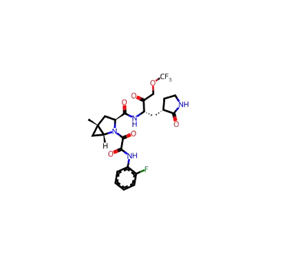 C[C@@]12C[C@@H](C(=O)N[C@@H](C[C@@H]3CCNC3=O)C(=O)COC(F)(F)F)N(C(=O)C(=O)Nc3ccccc3F)[C@@H]1C2